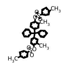 Cc1ccc(S(=O)(=O)Oc2ccc(C(c3ccccc3)(c3ccccc3)c3ccc(OS(=O)(=O)c4ccc(C)cc4)c(C)c3)cc2C)cc1